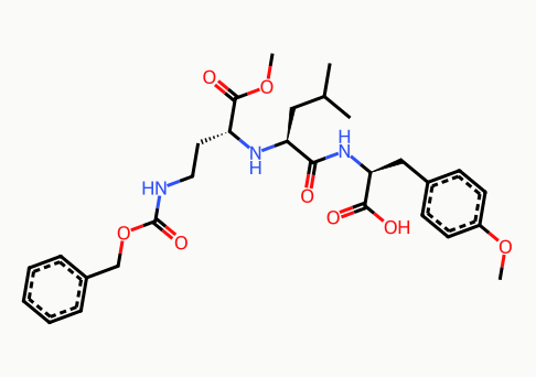 COC(=O)[C@@H](CCNC(=O)OCc1ccccc1)N[C@@H](CC(C)C)C(=O)N[C@@H](Cc1ccc(OC)cc1)C(=O)O